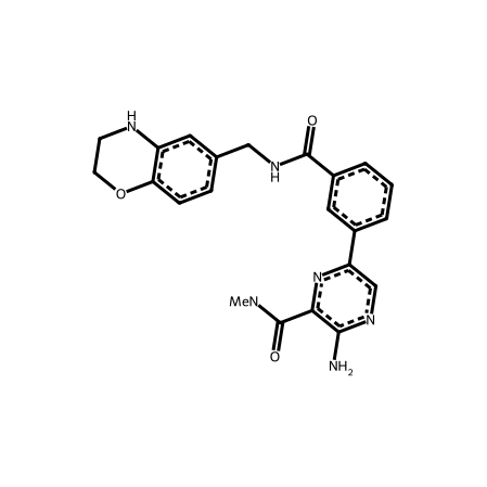 CNC(=O)c1nc(-c2cccc(C(=O)NCc3ccc4c(c3)NCCO4)c2)cnc1N